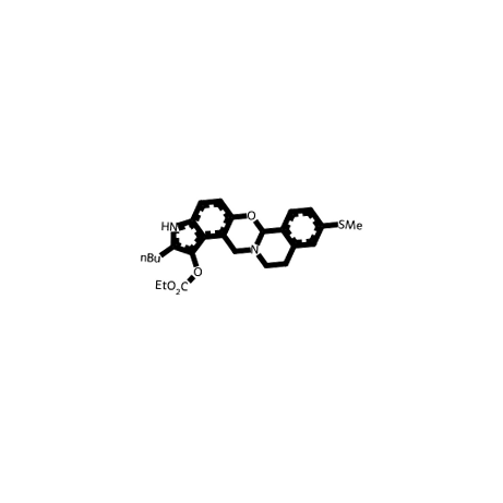 CCCCc1[nH]c2ccc3c(c2c1OC(=O)OCC)CN1CCc2cc(SC)ccc2C1O3